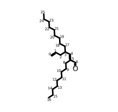 C=CCC(/C=C(/C=O)CCCCCCCCC)CCCCCCCCC